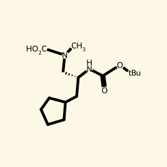 CN(C[C@@H](CC1CCCC1)NC(=O)OC(C)(C)C)C(=O)O